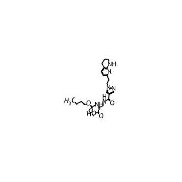 CCCCOC(=O)N[C@@H](CNC(=O)c1cnn(CCc2ccc3c(n2)NCCC3)c1)C(=O)O